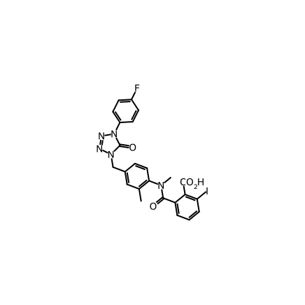 Cc1cc(Cn2nnn(-c3ccc(F)cc3)c2=O)ccc1N(C)C(=O)c1cccc(I)c1C(=O)O